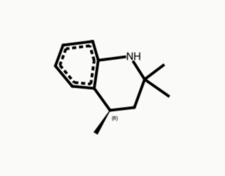 C[C@@H]1CC(C)(C)Nc2ccccc21